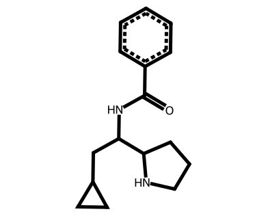 O=C(NC(CC1CC1)C1CCCN1)c1ccccc1